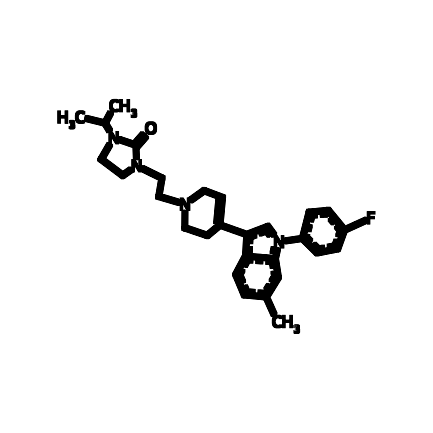 Cc1ccc2c(C3=CCN(CCN4CCN(C(C)C)C4=O)CC3)cn(-c3ccc(F)cc3)c2c1